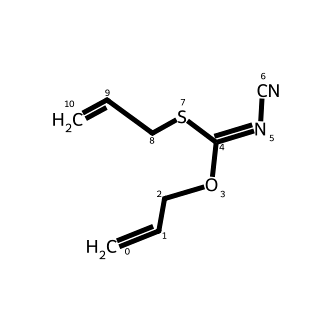 C=CCOC(=NC#N)SCC=C